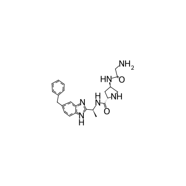 C[C@H](NC(=O)[C@@H]1C[C@@H](NC(=O)CN)CN1)c1nc2cc(Cc3ccccc3)ccc2[nH]1